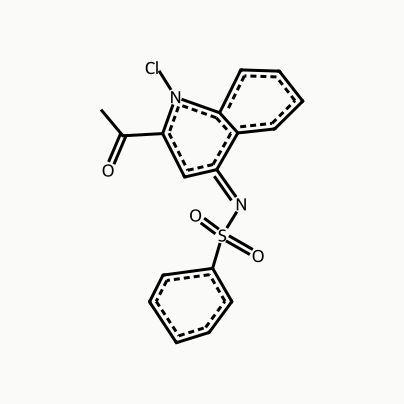 CC(=O)c1cc(=NS(=O)(=O)c2ccccc2)c2ccccc2n1Cl